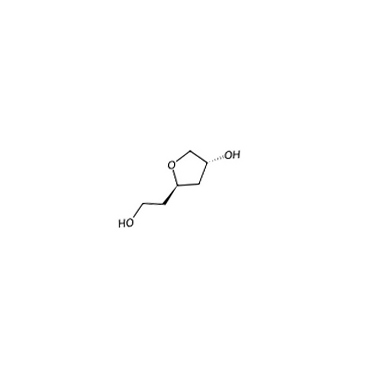 OCC[C@@H]1C[C@@H](O)CO1